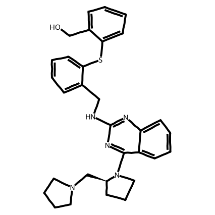 OCc1ccccc1Sc1ccccc1CNc1nc(N2CCC[C@H]2CN2CCCC2)c2ccccc2n1